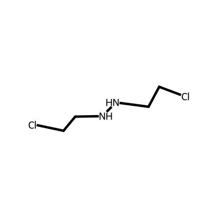 ClCCNNCCCl